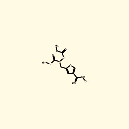 CC(C)(C)OC(=O)ON(Cc1cc(C(=N)NO)cs1)C(=O)OC(C)(C)C